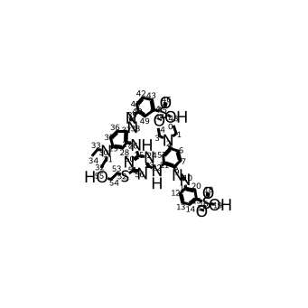 CCN(CC)c1ccc(/N=N/c2cccc(S(=O)(=O)O)c2)c(Nc2nc(Nc3cc(N(CC)CC)ccc3/N=N/c3cccc(S(=O)(=O)O)c3)nc(SCCO)n2)c1